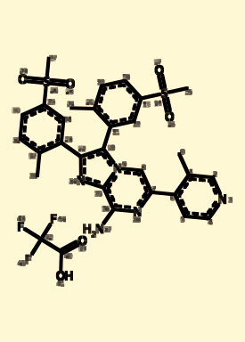 Cc1cnccc1-c1cn2c(-c3cc(S(C)(=O)=O)ccc3C)c(-c3cc(S(C)(=O)=O)ccc3C)nc2c(N)n1.O=C(O)C(F)(F)F